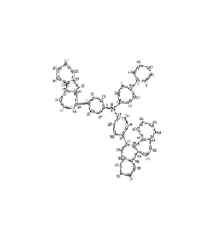 c1ccc(-c2ccc(N(c3ccc(-c4cccc5c4sc4ccccc45)cc3)c3ccc(-c4cc5ccccc5c5ccc6ccccc6c45)cc3)cc2)cc1